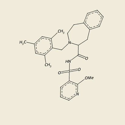 COc1ncccc1S(=O)(=O)NC(=O)C1Cc2ccccc2CCN1Cc1c(C)cc(C)cc1C